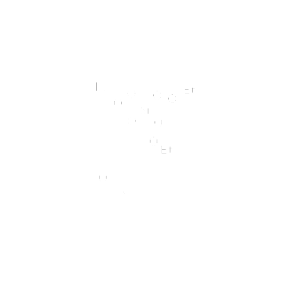 C=C(C)C(=O)CCCO[Si](OOCC)(OOCC)OOCC